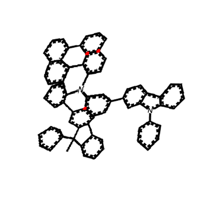 CC1(c2ccccc2)c2ccccc2-c2ccc(-c3ccccc3N(c3cccc(-c4ccc5c6ccccc6n(-c6ccccc6)c5c4)c3)c3ccccc3-c3cccc4cccc(-c5ccccc5)c34)cc21